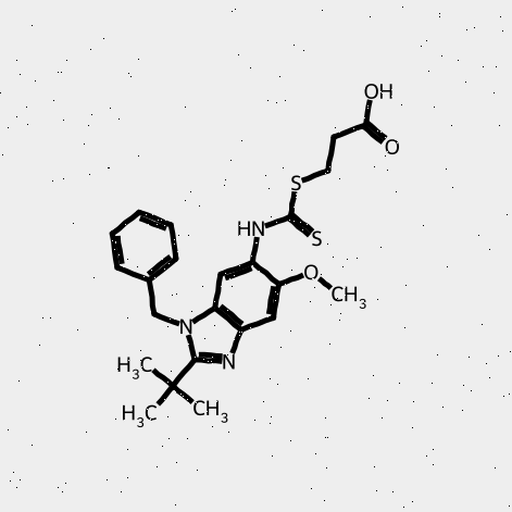 COc1cc2nc(C(C)(C)C)n(Cc3ccccc3)c2cc1NC(=S)SCCC(=O)O